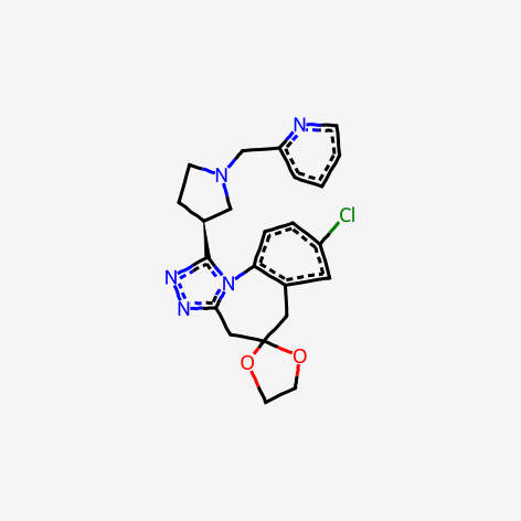 Clc1ccc2c(c1)CC1(Cc3nnc([C@H]4CCN(Cc5ccccn5)C4)n3-2)OCCO1